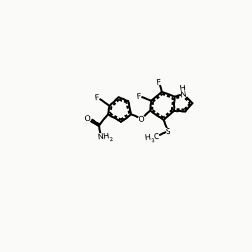 CSc1c(Oc2ccc(F)c(C(N)=O)c2)c(F)c(F)c2[nH]ccc12